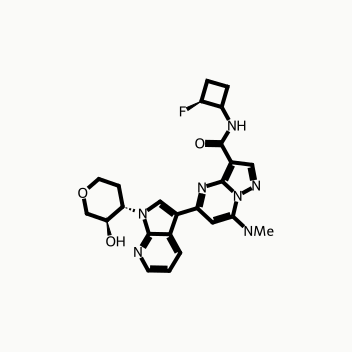 CNc1cc(-c2cn([C@H]3CCOC[C@@H]3O)c3ncccc23)nc2c(C(=O)NC3CC[C@@H]3F)cnn12